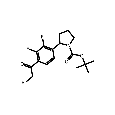 CC(C)(C)OC(=O)N1CCCC1c1ccc(C(=O)CBr)c(F)c1F